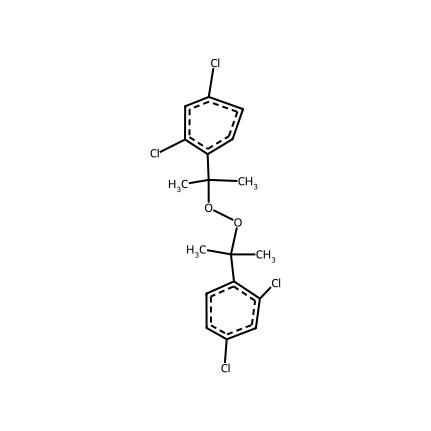 CC(C)(OOC(C)(C)c1ccc(Cl)cc1Cl)c1ccc(Cl)cc1Cl